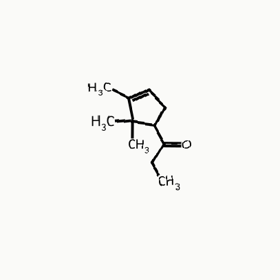 CCC(=O)C1CC=C(C)C1(C)C